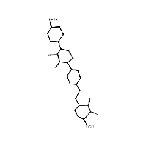 CCCCCCCCC1CCC(CCC2CCC(C3CCC(C4CCC(CCCCCC)CC4)C(F)C3F)CC2)C(F)C1F